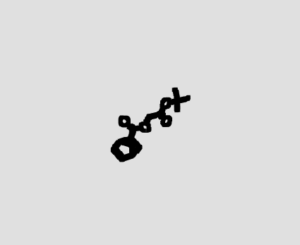 CC(C)(C)OC(=O)COC(=O)C1CC2C=CC1C2